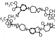 CC(C)(C)OC(=O)N1CC2(CCN(c3ccc4c(c3)CN(C3CCC(=O)NC3=O)C4=O)CC2)C1.COC(=O)c1ccc(N2CCC3(CC2)CN(C(=O)OC(C)(C)C)C3)cc1C#N